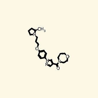 C[C@@H]1CCCN1CCCOc1ccc(-n2cc(C(=O)N3CCCOCC3)cn2)cc1